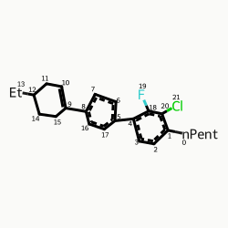 CCCCCc1ccc(-c2ccc(C3=CCC(CC)CC3)cc2)c(F)c1Cl